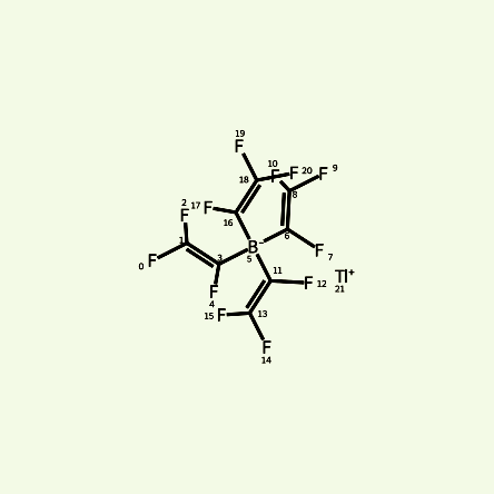 FC(F)=C(F)[B-](C(F)=C(F)F)(C(F)=C(F)F)C(F)=C(F)F.[Tl+]